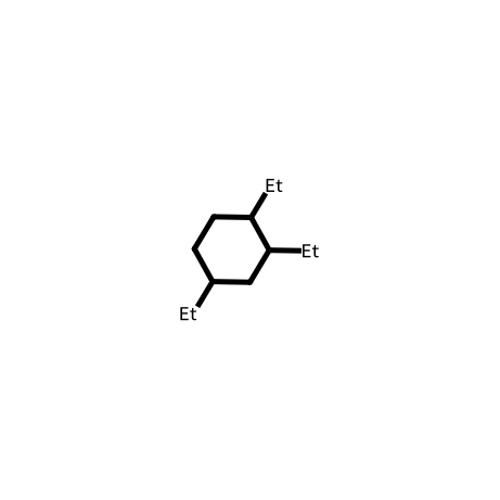 CCC1CCC(CC)C(CC)C1